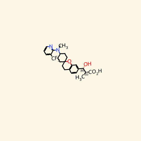 C[C@H](C(=O)O)[C@@H](O)c1ccc2c(c1)OC1(CC2)CCC(N(C)c2ncccc2C(F)(F)F)CC1